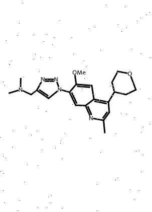 COc1cc2c(C3CCOCC3)cc(C)nc2cc1-n1cc(CN(C)C)nn1